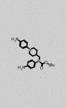 CC(C)(C)OC(=O)N(CC1CCN(c2ccc(N)cc2)CC1)c1ccc(N)cc1